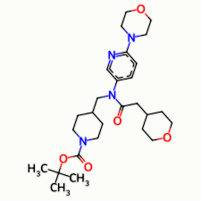 CC(C)(C)OC(=O)N1CCC(CN(C(=O)CC2CCOCC2)c2ccc(N3CCOCC3)nc2)CC1